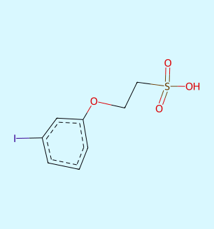 O=S(=O)(O)CCOc1cccc(I)c1